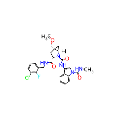 CNC(=O)n1cc(NC(=O)N2[C@H](C(=O)NCc3cccc(Cl)c3F)C[C@@]3(COC)C[C@@H]23)c2ccccc21